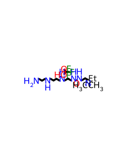 CCC(CCNC(=O)NCCCNCCCCNCCCN)N(C)C.O=C(O)C(F)(F)F